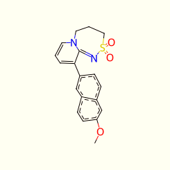 COc1ccc2cc(C3=CC=CN4CCCS(=O)(=O)N=C34)ccc2c1